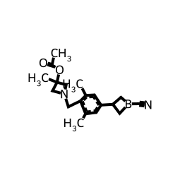 CC(=O)OC1(C)CN(Cc2c(C)cc(C3CB(C#N)C3)cc2C)C1